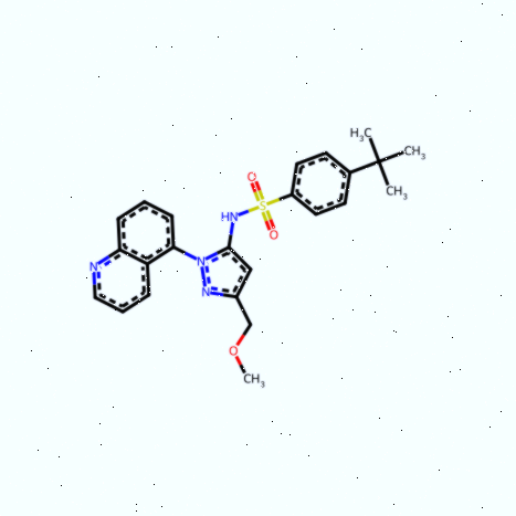 COCc1cc(NS(=O)(=O)c2ccc(C(C)(C)C)cc2)n(-c2cccc3ncccc23)n1